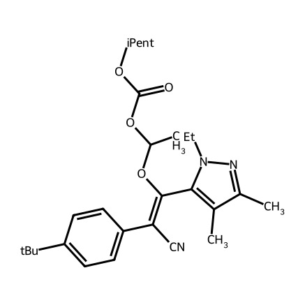 CCCC(C)OC(=O)OC(C)O/C(=C(/C#N)c1ccc(C(C)(C)C)cc1)c1c(C)c(C)nn1CC